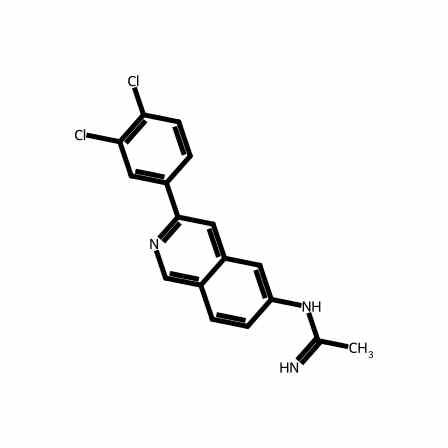 CC(=N)Nc1ccc2cnc(-c3ccc(Cl)c(Cl)c3)cc2c1